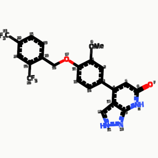 COc1cc(-c2cc(=O)[nH]c3n[nH]cc23)ccc1OCc1ccc(C(F)(F)F)cc1C(F)(F)F